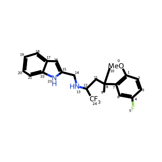 COc1ccc(F)cc1C(C)(C)CC(NCc1cc2ccccc2[nH]1)C(F)(F)F